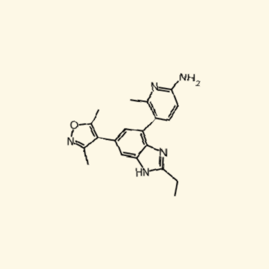 CCc1nc2c(-c3ccc(N)nc3C)cc(-c3c(C)noc3C)cc2[nH]1